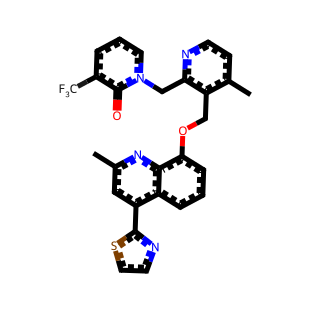 Cc1cc(-c2nccs2)c2cccc(OCc3c(C)ccnc3Cn3cccc(C(F)(F)F)c3=O)c2n1